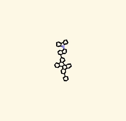 c1ccc(-c2ccc3c(c2)c2ccccc2c2c4ccc(-c5cccc6c(-n7c8ccccc8c8ccccc87)cccc56)cc4c4ccccc4c32)cc1